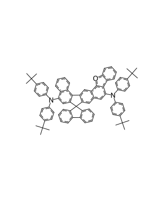 CC(C)(C)c1ccc(N(c2ccc(C(C)(C)C)cc2)c2cc3c(c4ccccc24)-c2cc4c(cc2C32c3ccccc3-c3ccccc32)cc(N(c2ccc(C(C)(C)C)cc2)c2ccc(C(C)(C)C)cc2)c2c3ccccc3oc42)cc1